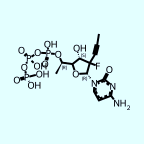 CC#CC1(F)[C@@H](O)C([C@@H](C)OP(=O)(O)OP(=O)(O)OP(=O)(O)O)O[C@H]1n1ccc(N)nc1=O